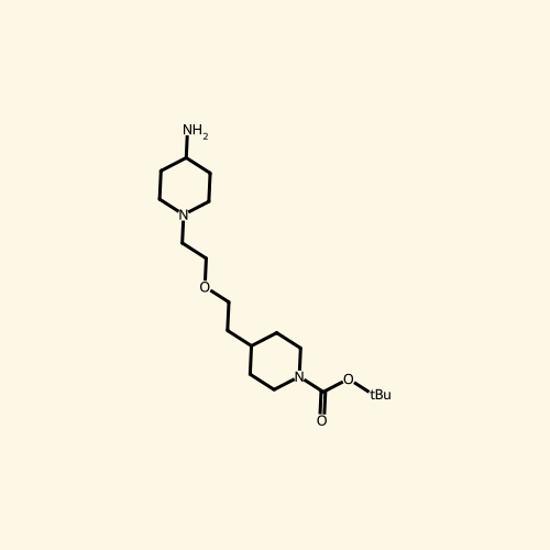 CC(C)(C)OC(=O)N1CCC(CCOCCN2CCC(N)CC2)CC1